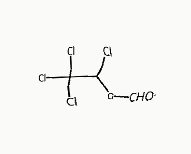 O=[C]OC(Cl)C(Cl)(Cl)Cl